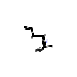 C=CC/C=C(/C)CCC